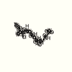 CC(C)[C@H](NC(=O)[C@H](C)NCCNC(=O)CCCN1C(=O)CCC1=O)C(=O)Nc1ccc(C(=O)Nc2ccc3[nH]c(C(=O)N4C[C@@H](CCl)c5c4cc(OC(=O)N4CCN(C)CC4)c4ccccc54)cc3c2)cc1